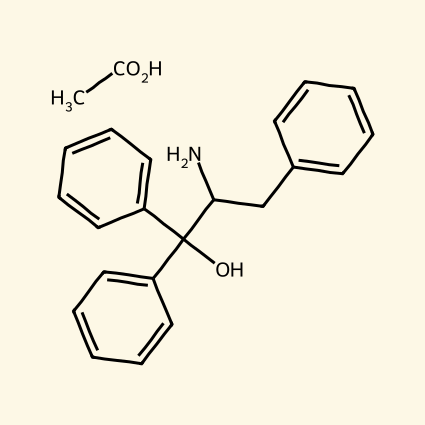 CC(=O)O.NC(Cc1ccccc1)C(O)(c1ccccc1)c1ccccc1